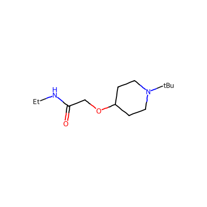 CCNC(=O)COC1CCN(C(C)(C)C)CC1